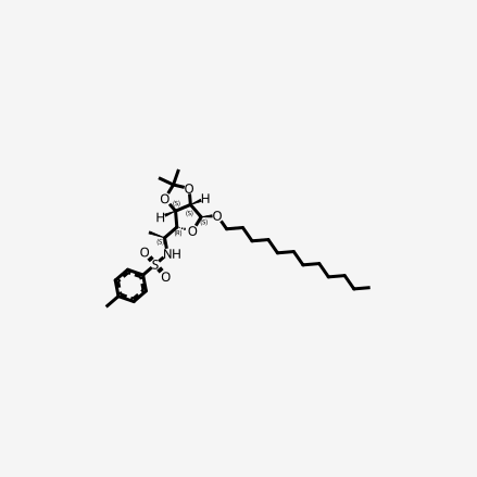 CCCCCCCCCCCCO[C@H]1O[C@H]([C@H](C)NS(=O)(=O)c2ccc(C)cc2)[C@@H]2OC(C)(C)O[C@H]12